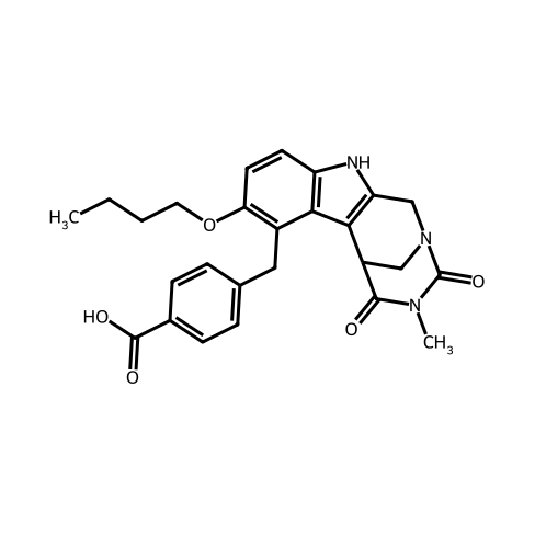 CCCCOc1ccc2[nH]c3c(c2c1Cc1ccc(C(=O)O)cc1)C1CN(C3)C(=O)N(C)C1=O